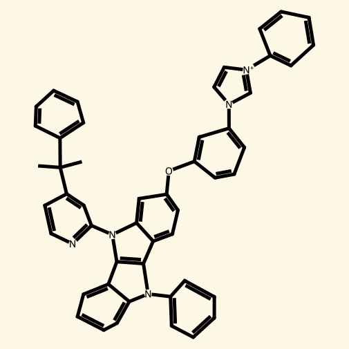 CC(C)(c1ccccc1)c1ccnc(-n2c3cc(Oc4cccc(-n5cc[n+](-c6ccccc6)c5)c4)ccc3c3c2c2ccccc2n3-c2ccccc2)c1